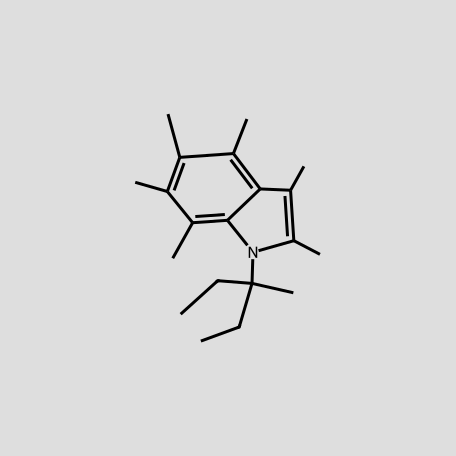 CCC(C)(CC)n1c(C)c(C)c2c(C)c(C)c(C)c(C)c21